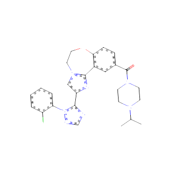 CC(C)N1CCN(C(=O)c2ccc3c(c2)-c2nc(-c4ncnn4-c4ccccc4Cl)cn2CCO3)CC1